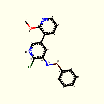 COc1ncccc1-c1cnc(Cl)c(NSc2ccccc2)c1